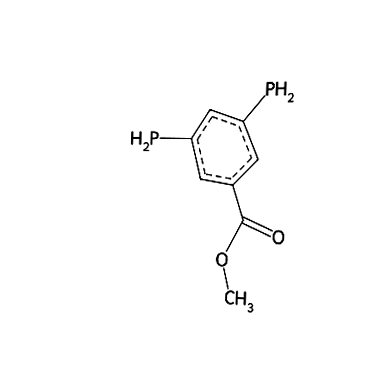 COC(=O)c1cc(P)cc(P)c1